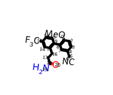 COc1ccc(CC#N)cc1-c1ccc(C(F)(F)F)cc1CCC(N)=O